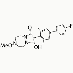 CON1CCn2c(O)c(-c3c(C)cc(-c4ccc(F)cc4)cc3C)c(=O)n2CC1